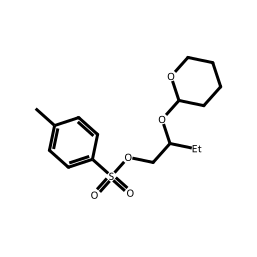 CCC(COS(=O)(=O)c1ccc(C)cc1)OC1CCCCO1